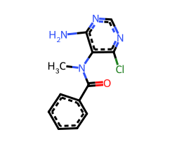 CN(C(=O)c1ccccc1)c1c(N)ncnc1Cl